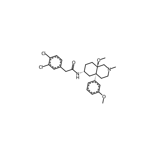 COc1cccc([C@@]23CCN(C)C[C@@]2(OC)CC[C@@H](NC(=O)Cc2ccc(Cl)c(Cl)c2)C3)c1